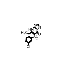 CCc1[nH]c2ncnn2c(=O)c1[S+]([O-])c1cccc(Cl)c1